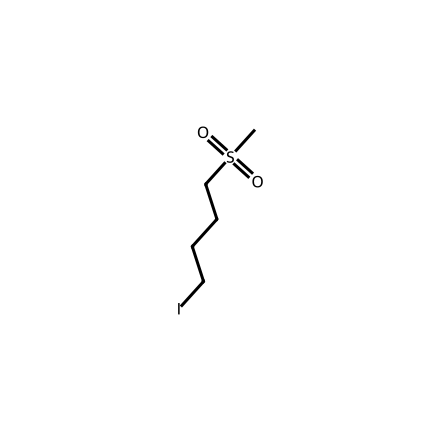 CS(=O)(=O)CCCCI